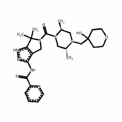 C[C@@H]1CN(C(=O)N2Cc3c(NC(=O)c4ccccn4)n[nH]c3C2(C)C)[C@@H](C)CN1CC1(O)CCOCC1